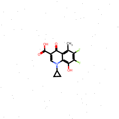 Cc1c(F)c(F)c(O)c2c1c(=O)c(C(=O)O)cn2C1CC1